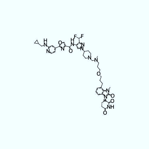 CN(CCCOCCCc1cccc2c1n(C)c(=O)n2[C@@H]1CCC(=O)NC1=O)CN1CCC(n2cc(NC(=O)c3coc(-c4ccnc(NCC5CC5)c4)n3)c(C(F)F)n2)CC1